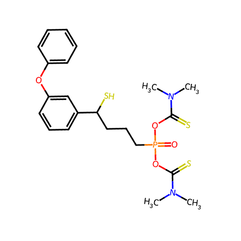 CN(C)C(=S)OP(=O)(CCCC(S)c1cccc(Oc2ccccc2)c1)OC(=S)N(C)C